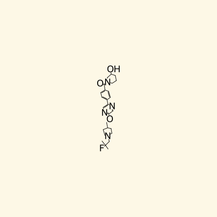 CC(C)(F)CN1CCC(COc2cnc(-c3ccc(C(=O)N4CCCC(O)C4)cc3)cn2)CC1